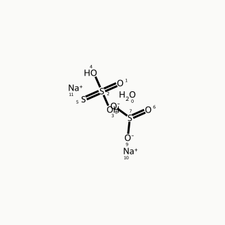 O.O=S(O)(O)=S.O=S([O-])[O-].[Na+].[Na+]